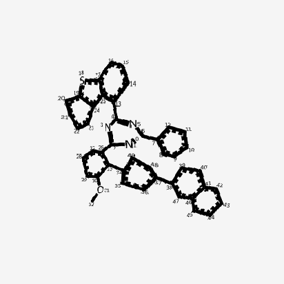 C=N/C(=N\C(=N/Cc1ccccc1)c1cccc2sc3ccccc3c12)c1cccc(OC)c1-c1ccc(-c2ccc3ccccc3c2)cc1